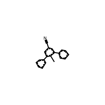 Cc1c(-c2ccccc2)cc(C#N)cc1-c1ccccc1